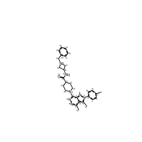 Cc1ccc(-n2nc3c(N4CCC(C(=O)NC5CN(Cc6ccccc6)C5)CC4)nnc(C)c3c2C)cc1